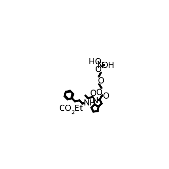 CCOC(=O)C(CCc1ccccc1)NC(C)C(=O)N1C(C(=O)OCCOCCON(O)O)CC2CCCC21